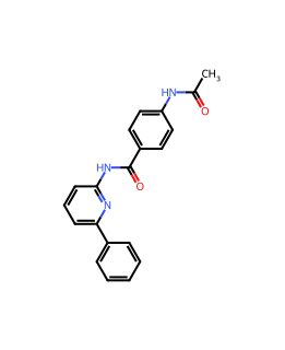 CC(=O)Nc1ccc(C(=O)Nc2cccc(-c3ccccc3)n2)cc1